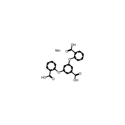 O=C(O)c1cc(Oc2ccccc2C(=O)O)cc(Oc2ccccc2C(=O)O)c1.[Mn]